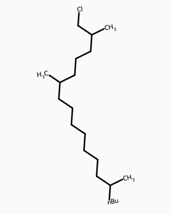 CCCCC(C)CCCCCCCC(C)CCCC(C)CCl